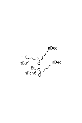 CCCCCCCCCCCCCCCC(=O)OC(CC)CCCCC.CCCCCCCCCCCCCCCC(=O)OCCC(C)CC(C)(C)C